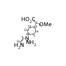 COC(C(=O)O)c1ccc(N(N)/C=C\N)cc1